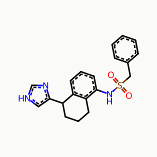 O=S(=O)(Cc1ccccc1)Nc1cccc2c1CCCC2c1c[nH]cn1